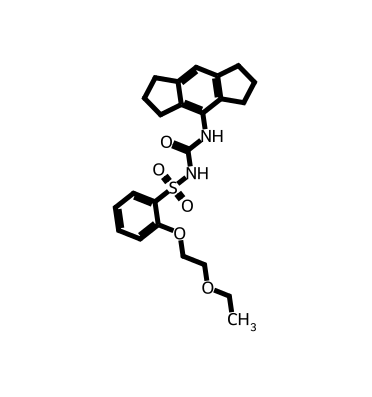 CCOCCOc1ccccc1S(=O)(=O)NC(=O)Nc1c2c(cc3c1CCC3)CCC2